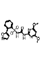 COc1cc(OC)nc(NC(=O)NS(=O)(=O)c2ccccc2-c2ccno2)n1